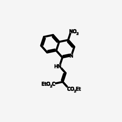 CCOC(=O)C(=CNc1ncc([N+](=O)[O-])c2ccccc12)C(=O)OCC